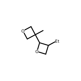 CC[C]1COC1C1(C)COC1